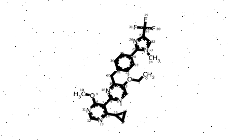 CCOc1cnc(-c2c(OC)ncnc2C2CC2)nc1Cc1ccc(-c2nc(C(F)(F)F)cn2C)cc1